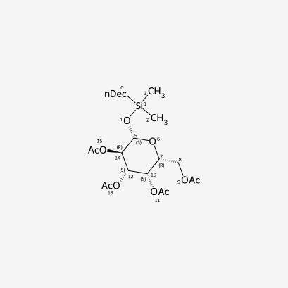 CCCCCCCCCC[Si](C)(C)O[C@@H]1O[C@H](COC(C)=O)[C@H](OC(C)=O)[C@H](OC(C)=O)[C@H]1OC(C)=O